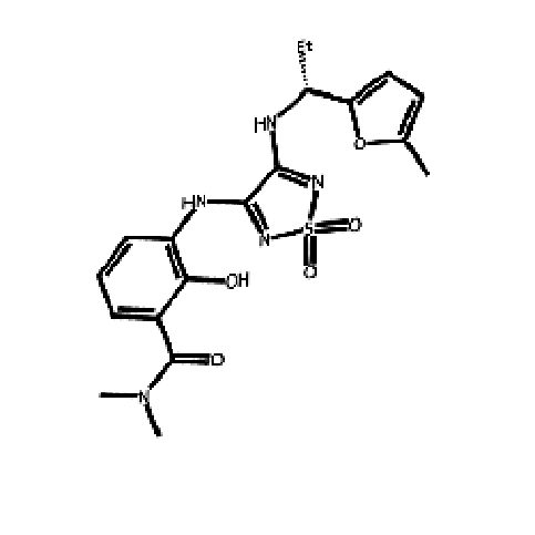 CC[C@@H](NC1=NS(=O)(=O)N=C1Nc1cccc(C(=O)N(C)C)c1O)c1ccc(C)o1